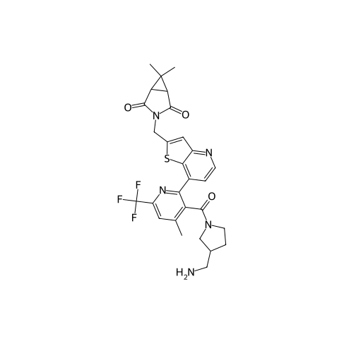 Cc1cc(C(F)(F)F)nc(-c2ccnc3cc(CN4C(=O)C5C(C4=O)C5(C)C)sc23)c1C(=O)N1CCC(CN)C1